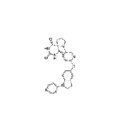 O=C1NC(=O)C2(CCCN2c2ccc(Oc3ccc4c(c3)CCN4c3ccncc3)nc2)C(=O)N1